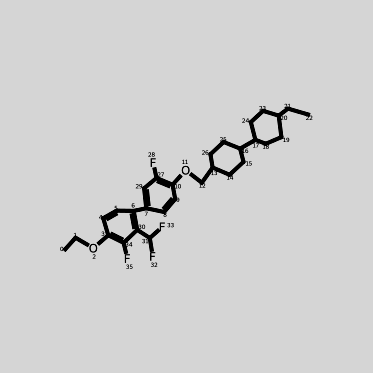 CCOc1ccc(-c2ccc(OCC3CCC(C4CCC(CC)CC4)CC3)c(F)c2)c(C(F)F)c1F